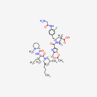 CCCCCCN(C(=O)[C@@H](NC(=O)[C@H]1CCCCN1C)[C@@H](C)CC)[C@H](C[C@@H](OC(C)=O)c1nc(C(=O)N[C@@H](Cc2ccc(NC(=O)CN)c(F)c2)CC(C)(C)C(=O)O)cs1)C(C)C